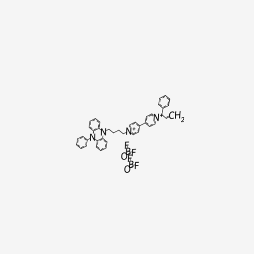 C=CC(c1ccccc1)[n+]1ccc(-c2cc[n+](CCCCN3c4ccccc4N(c4ccccc4)c4ccccc43)cc2)cc1.[O-]B(F)F.[O-]B(F)F